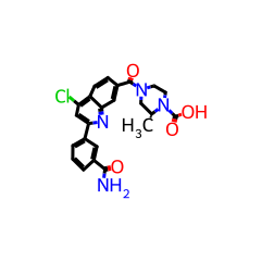 C[C@@H]1CN(C(=O)c2ccc3c(Cl)cc(-c4cccc(C(N)=O)c4)nc3c2)CCN1C(=O)O